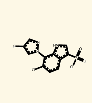 O=S(=O)(Cl)c1c[nH]c2c(-n3cc(F)cn3)c(Cl)ccc12